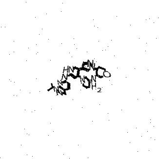 CC(C)n1ncc2ccc(Nc3cc(N4CCC[C@H](N)C4)c(-c4cnn(C5CCOCC5)c4)cn3)nc21